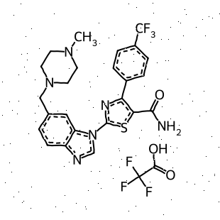 CN1CCN(Cc2ccc3ncn(-c4nc(-c5ccc(C(F)(F)F)cc5)c(C(N)=O)s4)c3c2)CC1.O=C(O)C(F)(F)F